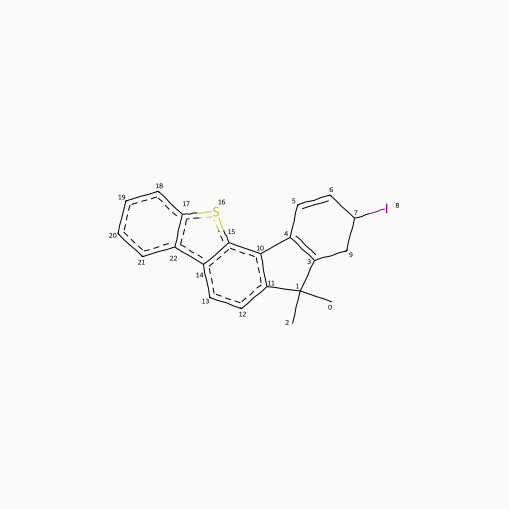 CC1(C)C2=C(C=CC(I)C2)c2c1ccc1c2sc2ccccc21